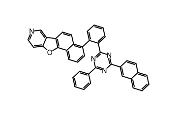 c1ccc(-c2nc(-c3ccc4ccccc4c3)nc(-c3ccccc3-c3cccc4c3ccc3c5cnccc5oc43)n2)cc1